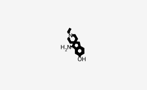 CCN1CCC2(CC1)Cc1ccc(O)cc1[C@H]2N